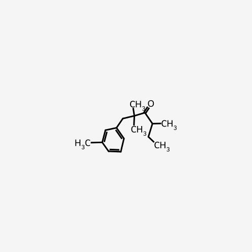 CCC(C)C(=O)C(C)(C)Cc1cccc(C)c1